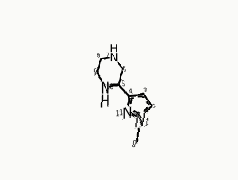 Cn1ccc(C2CNCCN2)n1